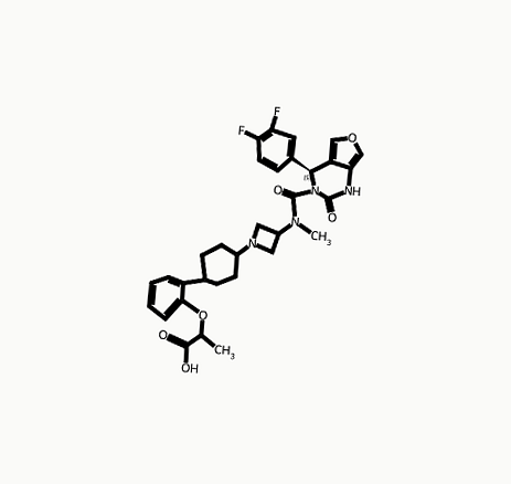 CC(Oc1ccccc1C1CCC(N2CC(N(C)C(=O)N3C(=O)Nc4cocc4[C@@H]3c3ccc(F)c(F)c3)C2)CC1)C(=O)O